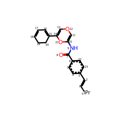 CC(C)C=Cc1ccc(C(=O)NC2=COC=C(C3=CC=CCC3)O2)cc1